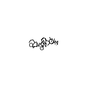 COc1nn2c(-c3c(C)cc(N(C)C)nc3C)cccc2c1N(CC1CC1)CC1CCCOC1